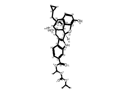 CC(C)OC(=O)OC(C)OC(=O)c1ccc2c3c([nH]c2c1)[C@@H]1Oc2c(O)ccc4c2[C@@]12CCN(CC1CC1)[C@H](C4)[C@]2(O)C3